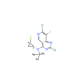 [2H]C([2H])([2H])N(c1nc(Cl)nc2c(F)c(Cl)ncc12)[C@@H]1C[C@H]1F